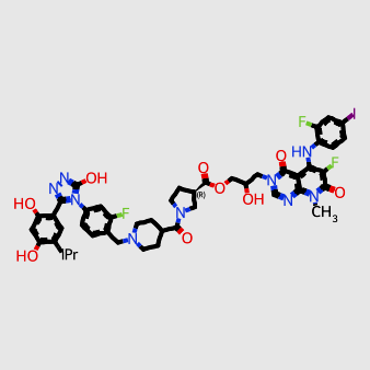 CC(C)c1cc(-c2nnc(O)n2-c2ccc(CN3CCC(C(=O)N4CC[C@@H](C(=O)OCC(O)Cn5cnc6c(c(Nc7ccc(I)cc7F)c(F)c(=O)n6C)c5=O)C4)CC3)c(F)c2)c(O)cc1O